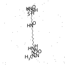 Cn1cnc2c(=O)[nH]c(NCCCCCCCCCCCNC(=O)CCCC[C@H]3SC[C@H]4NC(=O)N[C@H]43)nc21